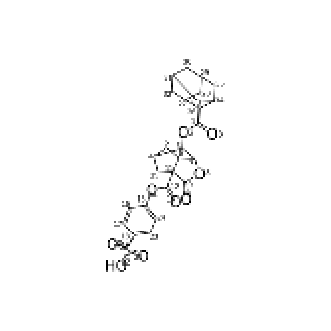 O=C(OC1C2CC3C1OC(=O)C3(C(=O)Oc1ccc(S(=O)(=O)O)cc1)C2)C1C2CC3CC(C2)CC1C3